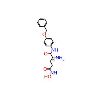 N[C@H](CCC(=O)NO)C(=O)Nc1ccc(OCc2ccccc2)cc1